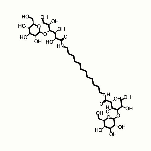 O=C(NCCCCCCCCCCCCNC(=O)[C@H](O)[C@@H](O)[C@H](O[C@@H]1O[C@H](CO)[C@@H](O)[C@H](O)[C@H]1O)[C@H](O)CO)[C@H](O)[C@@H](O)[C@H](O[C@@H]1O[C@H](CO)[C@@H](O)[C@H](O)[C@H]1O)[C@H](O)CO